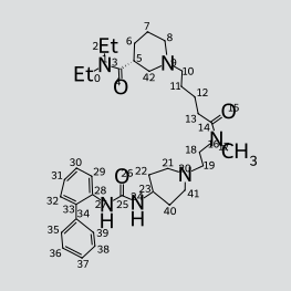 CCN(CC)C(=O)[C@@H]1CCCN(CCCCC(=O)N(C)CCN2CCC(NC(=O)Nc3ccccc3-c3ccccc3)CC2)C1